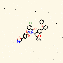 COC(=O)CC(NC(=O)c1cc(Cl)ccc1NS(=O)(=O)c1ccc(-c2cnco2)cc1)c1ccc(-c2ccccc2Oc2ccccc2)cc1